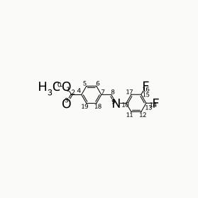 COC(=O)c1ccc(C=Nc2ccc(F)c(F)c2)cc1